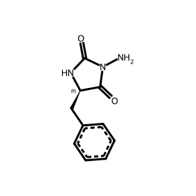 NN1C(=O)N[C@H](Cc2ccccc2)C1=O